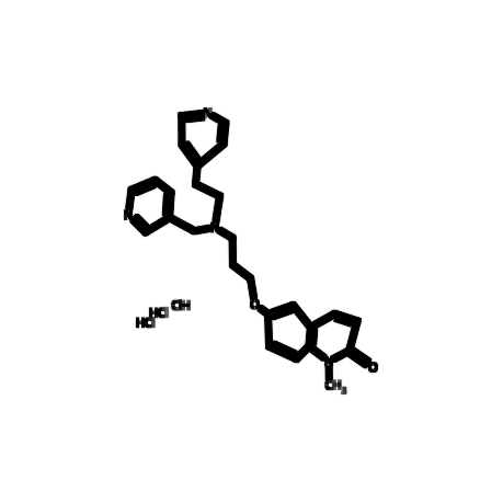 Cl.Cl.Cl.Cn1c(=O)ccc2cc(OCCCN(CCc3ccncc3)Cc3cccnc3)ccc21